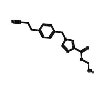 CCOC(=O)c1cn(Cc2ccc(CCC#N)cc2)cn1